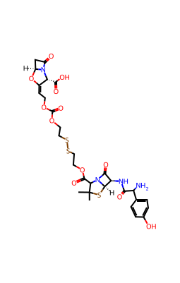 CC1(C)S[C@@H]2[C@H](NC(=O)C(N)c3ccc(O)cc3)C(=O)N2C1C(=O)OCCSSCCOC(=O)OC/C=C1/O[C@H]2CC(=O)N2[C@@H]1C(=O)O